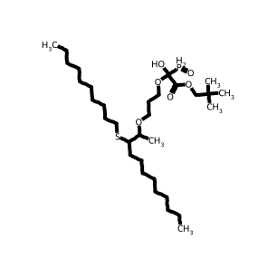 CCCCCCCCCCSC(CCCCCCCCC)C(C)OCCCOC(O)([PH2]=O)C(=O)OCC(C)(C)C